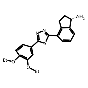 CCOc1ccc(-c2nnc(-c3cccc4c3CC[C@@H]4N)s2)cc1OCC